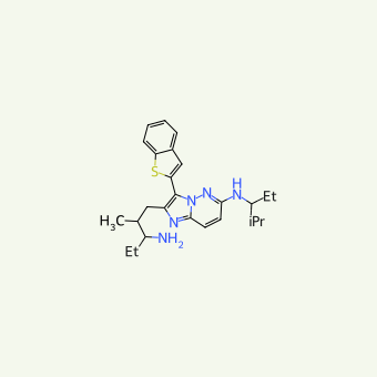 CCC(N)C(C)Cc1nc2ccc(NC(CC)C(C)C)nn2c1-c1cc2ccccc2s1